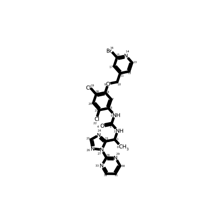 CC(NC(=O)Nc1cc(OCc2ccnc(Br)c2)c(Cl)cc1Cl)c1ncnn1-c1ncccn1